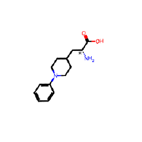 N[C@H](CC1CCN(c2ccccc2)CC1)C(=O)O